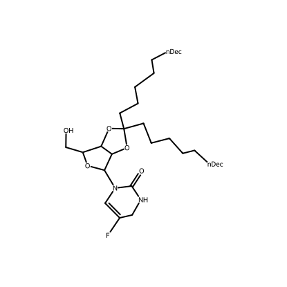 CCCCCCCCCCCCCCCC1(CCCCCCCCCCCCCCC)OC2C(CO)OC(N3C=C(F)CNC3=O)C2O1